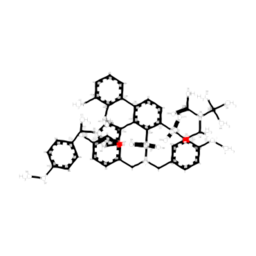 COc1ccc(CN(Cc2ccc(OC)cc2)S(=O)(=O)c2c(S(=O)(=O)CC(C)N(C(=O)O)C(C)(C)C)ccc(-c3cccc(N)c3N)c2-c2nnn(Cc3ccc(OC)cc3)n2)cc1